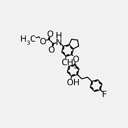 CCOC(=O)C(=O)Nc1cc(C)c(Oc2ccc(O)c(CCc3ccc(F)cc3)c2)c2c1CCC2